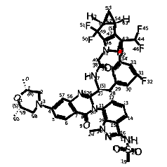 C[C@@H]1CN(c2ccc3c(=O)n(-c4cccc5c(NS(C)(=O)=O)nn(C)c45)c([C@H](Cc4cc(F)cc(F)c4)NC(=O)Cn4nc(C(F)F)c5c4C(F)(F)[C@@H]4C[C@H]54)nc3c2)C[C@H](C)O1